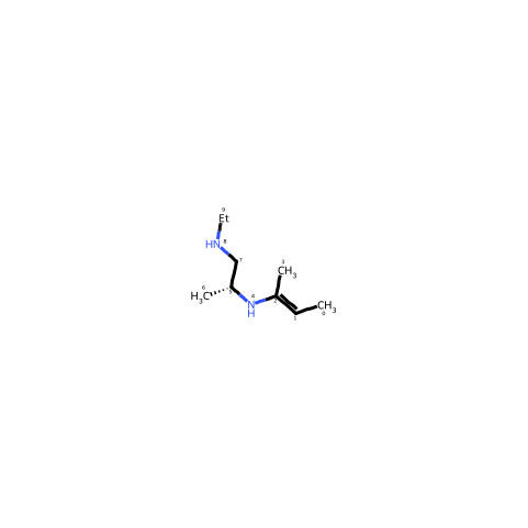 C/C=C(\C)N[C@H](C)CNCC